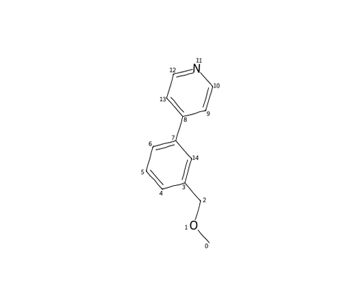 COCc1cccc(-c2ccncc2)c1